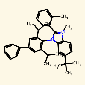 Cc1ccccc1-c1n(-c2c(C(C)C)cc(-c3ccccc3)cc2C(C)C)c2cc(C(C)(C)C)ccc2[n+]1C